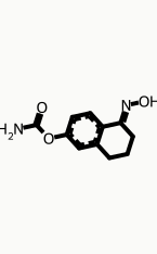 NC(=O)Oc1ccc2c(c1)CCCC2=NO